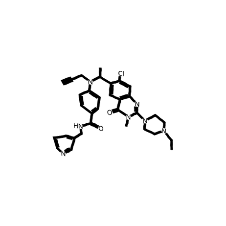 C#CCN(c1ccc(C(=O)NCc2cccnc2)cc1)C(C)c1cc2c(=O)n(C)c(N3CCN(CC)CC3)nc2cc1Cl